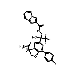 C[C@]1(C(N)=O)COc2c1cc(C(O)(CNC(=O)c1cn3ncccc3n1)C(F)(F)F)nc2-c1ccc(F)cc1